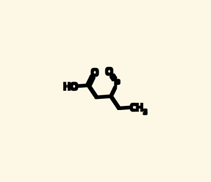 CCC(CC(=O)O)P=O